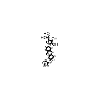 OC[C@@H](O)[C@H]1O[C@@H](c2ccc(Cl)c(Cc3ccc(O[C@H]4CCOC4)cc3)c2)[C@H](O)[C@H]1O